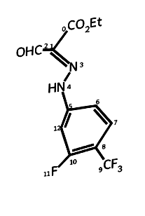 CCOC(=O)C(C=O)=NNc1ccc(C(F)(F)F)c(F)c1